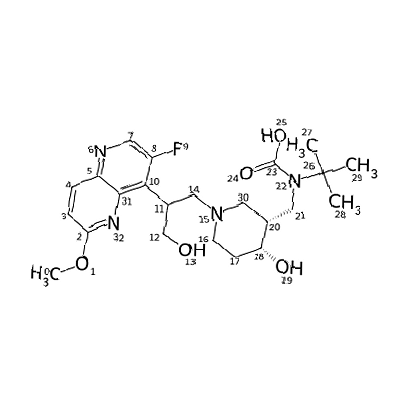 COc1ccc2ncc(F)c(C(CO)CN3CC[C@@H](O)[C@@H](CN(C(=O)O)C(C)(C)C)C3)c2n1